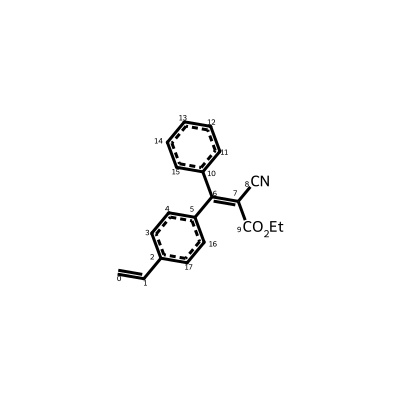 C=Cc1ccc(C(=C(C#N)C(=O)OCC)c2ccccc2)cc1